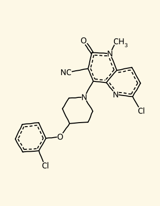 Cn1c(=O)c(C#N)c(N2CCC(Oc3ccccc3Cl)CC2)c2nc(Cl)ccc21